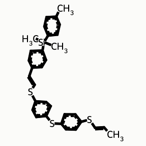 CC=CSc1ccc(Sc2ccc(SC=Cc3ccc([Si](C)(C)c4ccc(C)cc4)cc3)cc2)cc1